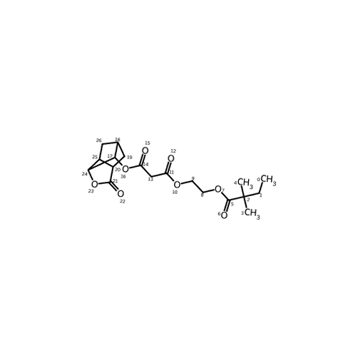 CCC(C)(C)C(=O)OCCOC(=O)CC(=O)OC1C2CC3C(=O)OC1C3C2